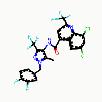 Cc1c(NC(=O)c2cc(C(F)(F)F)nc3c(Cl)cc(Cl)cc23)c(C(F)(F)F)nn1Cc1ccc(F)c(F)c1